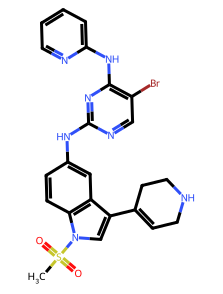 CS(=O)(=O)n1cc(C2=CCNCC2)c2cc(Nc3ncc(Br)c(Nc4ccccn4)n3)ccc21